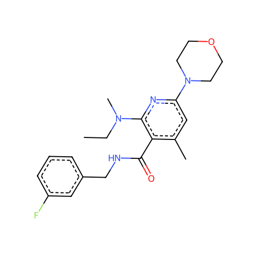 CCN(C)c1nc(N2CCOCC2)cc(C)c1C(=O)NCc1cccc(F)c1